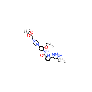 COC(=O)CCN1CCN(c2ccc(NC(=O)c3cccc(/C(N)=C/C(C)=N)n3)c(OC)c2)CC1